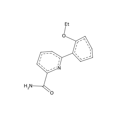 CCOc1ccccc1-c1cccc(C(N)=O)n1